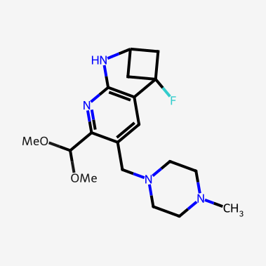 COC(OC)c1nc2c(cc1CN1CCN(C)CC1)C1(F)CC(C1)N2